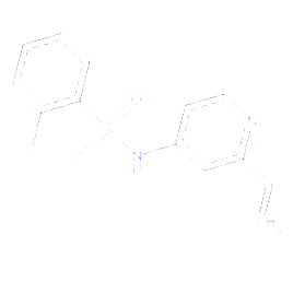 C=Cc1cc(NS(=O)(=O)c2ccccc2F)ccn1